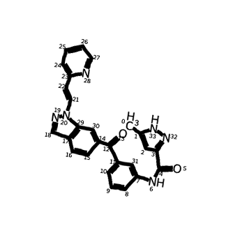 Cc1cc(C(=O)Nc2cccc(C(=O)c3ccc4cnn(C=Cc5ccccn5)c4c3)c2)n[nH]1